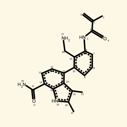 C=C(C)C(=O)Nc1cccc(-c2ccc(C(N)=O)c3[nH]c(C)c(C)c23)c1CN